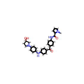 Cn1cccc1C(=O)Nc1ccc(C(=O)c2ccc(Nc3ccc(N4CCC(O)C4)cc3)cc2)cc1